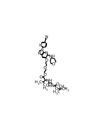 CC(C)C(NC(=O)CNC(=O)OC(C)(C)C)C(=O)OCCOCCOc1cc2ncn(-c3ccc(C#N)cn3)c2nc1NC1CCOCC1